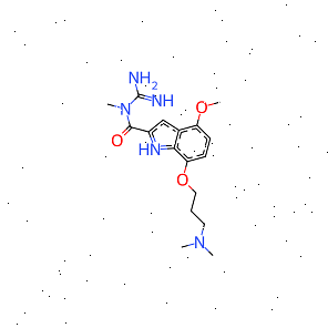 COc1ccc(OCCCN(C)C)c2[nH]c(C(=O)N(C)C(=N)N)cc12